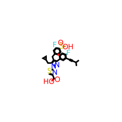 CC(C)C#Cc1cc(-c2nn(-c3nc(C(=O)O)cs3)c(CC3CC3)c2Cc2ccc(S(=O)O)c(F)c2)ccc1F